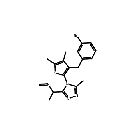 C=NC(C)c1nnc(C)n1-c1sc(C)c(C)c1Cc1cccc(Br)c1